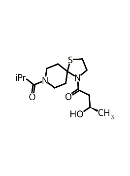 CC(C)C(=O)N1CCC2(CC1)SCCN2C(=O)C[C@@H](C)O